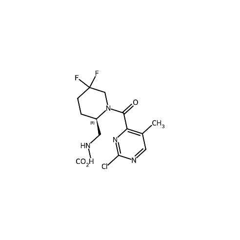 Cc1cnc(Cl)nc1C(=O)N1CC(F)(F)CC[C@@H]1CNC(=O)O